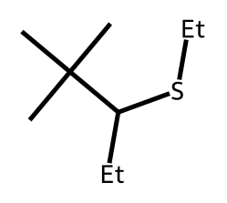 CCSC(CC)C(C)(C)C